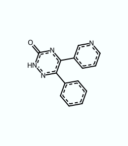 O=c1nc(-c2cccnc2)c(-c2ccccc2)n[nH]1